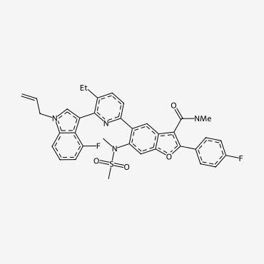 C=CCn1cc(-c2nc(-c3cc4c(C(=O)NC)c(-c5ccc(F)cc5)oc4cc3N(C)S(C)(=O)=O)ccc2CC)c2c(F)cccc21